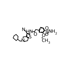 CCOc1cc(CC(=O)Nc2sc3c(c2C#N)CN(CC2CCCCC2)CC3)ccc1S(N)(=O)=O